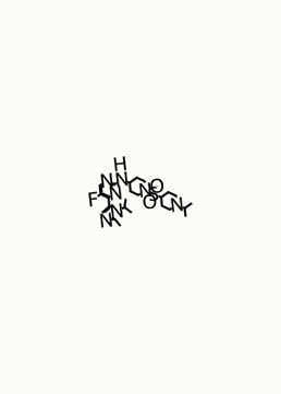 Cc1ncc(-c2nc(NC3CCN(S(=O)(=O)C4CCN(C(C)C)CC4)CC3)ncc2F)n1C(C)C